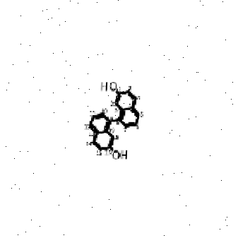 Oc1ccc2cccc(-c3cccc4ccc(O)cc34)c2c1